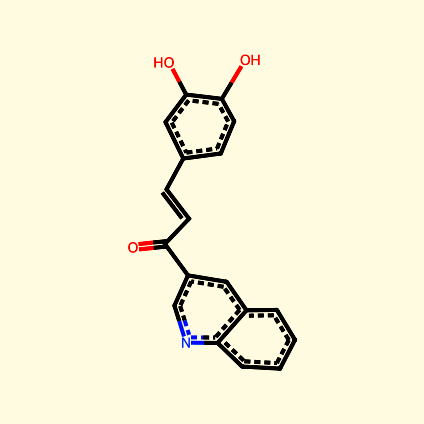 O=C(C=Cc1ccc(O)c(O)c1)c1cnc2ccccc2c1